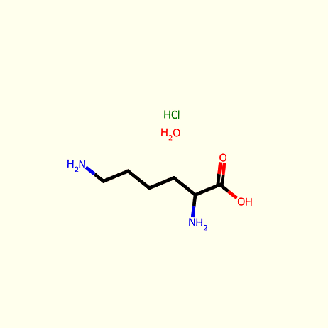 Cl.NCCCCC(N)C(=O)O.O